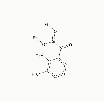 CCO[SiH](OCC)C(=O)c1cccc(C)c1C